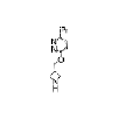 CC(C)c1ccc(OCC2CNC2)nn1